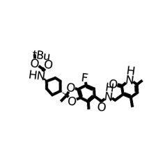 Cc1cc(C)c(CNC(=O)c2cc(F)c3c(c2C)OC(C)([C@H]2CC[C@H](NC(=O)OC(C)(C)C)CC2)O3)c(=O)[nH]1